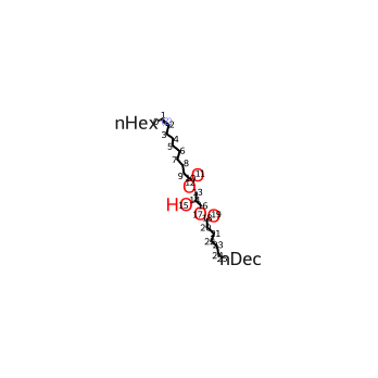 CCCCCC/C=C\CCCCCCCC(=O)OCC(O)COC(=O)CCCCCCCCCCCCCCC